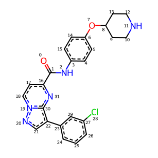 O=C(Nc1ccc(OC2CCNCC2)cc1)c1ccn2ncc(-c3cccc(Cl)c3)c2n1